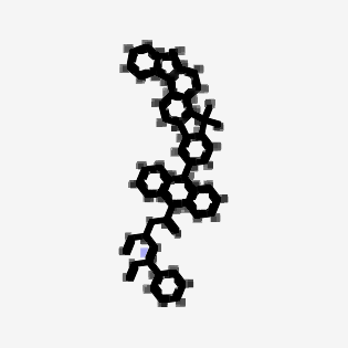 C=C/C(=C\C(C=C)CC(=C)c1c2ccccc2c(-c2ccc3c(c2)-c2ccc4c(ccc5sc6ccccc6c54)c2C3(C)C)c2ccccc12)c1ccccc1